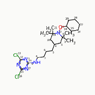 CC1(C)CC(CCCCNc2nc(Cl)nc(Cl)n2)CC(C)(C)N1OC1CCCCC1